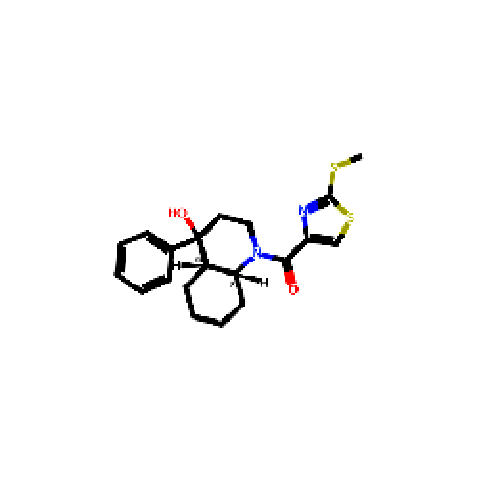 CSc1nc(C(=O)N2CCC(O)(c3ccccc3)[C@H]3CCCC[C@H]32)cs1